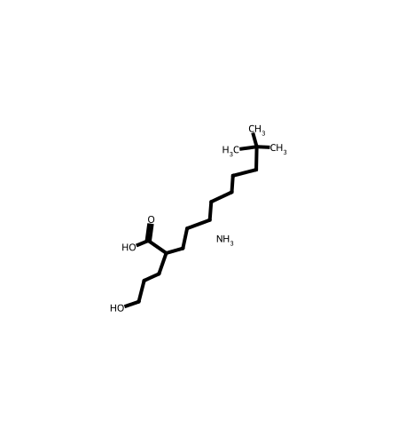 CC(C)(C)CCCCCCCC(CCCO)C(=O)O.N